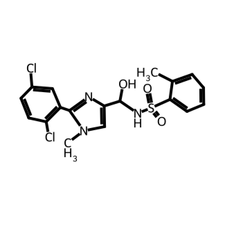 Cc1ccccc1S(=O)(=O)NC(O)c1cn(C)c(-c2cc(Cl)ccc2Cl)n1